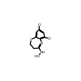 ONC1=Nc2c(Cl)cc(Cl)cc2SCC1